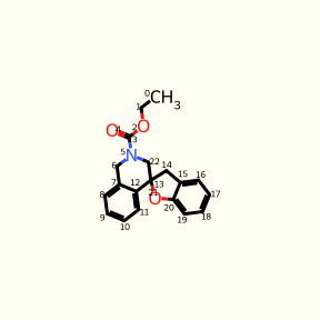 CCOC(=O)N1Cc2ccccc2C2(Cc3ccccc3O2)C1